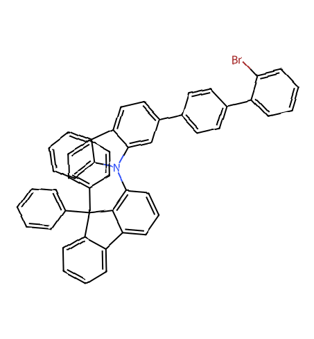 Brc1ccccc1-c1ccc(-c2ccc3c4ccccc4n(-c4cccc5c4C(c4ccccc4)(c4ccccc4)c4ccccc4-5)c3c2)cc1